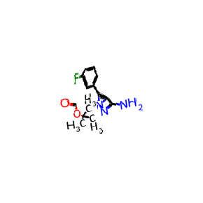 CC(C)(C)OC=O.Nc1nn2c(-c3cccc(F)c3)c1-2